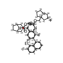 CCc1c(F)ccc2cccc(-c3c(F)cc4c(N5CC6CCC(C5)N6C(=O)OC(C)(C)C)nc(OC[C@@]56CCCN5C[C@H](F)C6)nc4c3F)c12